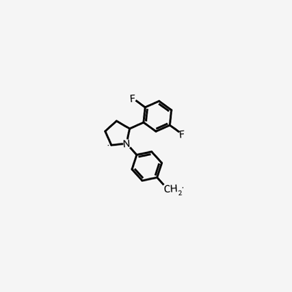 [CH2]c1ccc(N2[CH]CCC2c2cc(F)ccc2F)cc1